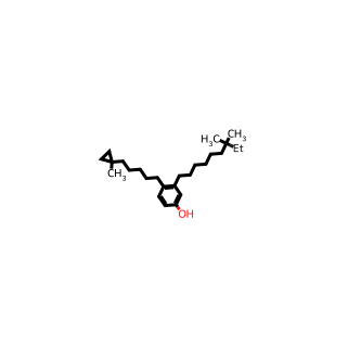 CCC(C)(C)CCCCCCc1cc(O)ccc1CCCCCC1(C)CC1